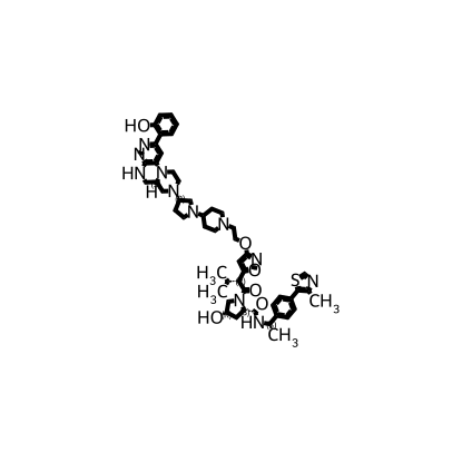 Cc1ncsc1-c1ccc([C@H](C)NC(=O)[C@@H]2C[C@@H](O)CN2C(=O)[C@@H](c2cc(OCCN3CCC(N4CC[C@@H](N5CCN6c7cc(-c8ccccc8O)nnc7NC[C@H]6C5)C4)CC3)no2)C(C)C)cc1